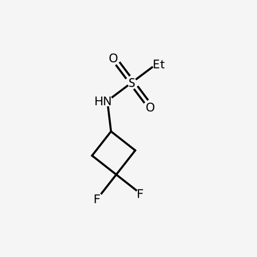 CCS(=O)(=O)NC1CC(F)(F)C1